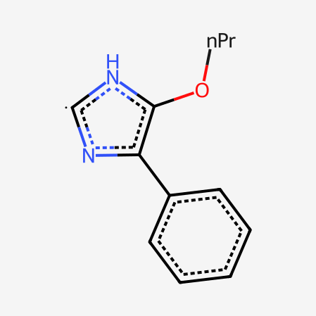 CCCOc1[nH][c]nc1-c1ccccc1